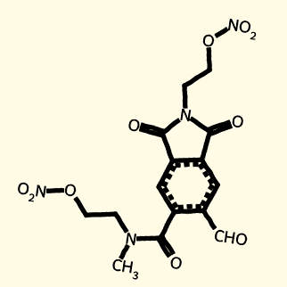 CN(CCO[N+](=O)[O-])C(=O)c1cc2c(cc1C=O)C(=O)N(CCO[N+](=O)[O-])C2=O